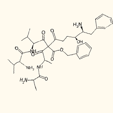 CC(N)C(=O)NC(C)C(=O)C(C(=O)CC[C@H](O)[C@@H](N)Cc1ccccc1)(C(=O)OCc1ccccc1)C(=O)[C@@H](NC(=O)C(N)C(C)C)C(C)C